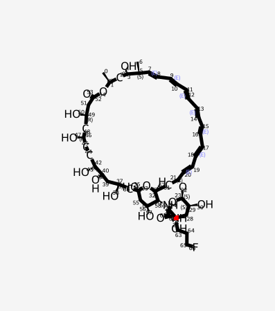 C[C@H]1C[C@H](O)[C@@H](C)/C=C/C=C/C=C/C=C/C=C/C=C/C=C/[C@H](O[C@@H]2OC[C@@H](O)C[C@@H]2O)C[C@@H]2O[C@](O)(C[C@@H](O)C[C@@H](O)[C@H](O)CC[C@@H](O)C[C@@H](O)CC(=O)O1)C[C@H](O)[C@H]2NC(=O)NCCCF